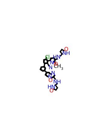 COc1nc(-c2c(Cl)ccc(-c3cccc(-c4ccn5c(=O)c(CNCC6CCC(=O)N6)cnc5c4)c3)c2C#N)ccc1CNCC1CCC(=O)N1